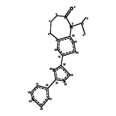 CC(C)N1C(=O)CCCc2cc(-c3csc(-c4ccncc4)n3)ccc21